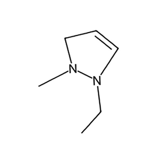 CCN1C=CCN1C